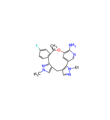 CCn1ncc2c1-c1cnc(N)c(c1)O[C@H](C)c1cc(F)ccc1-c1nn(C)cc1C2